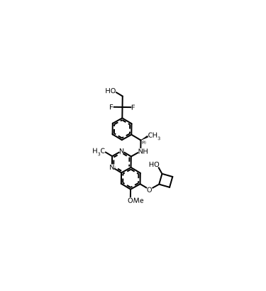 COc1cc2nc(C)nc(N[C@H](C)c3cccc(C(F)(F)CO)c3)c2cc1OC1CCC1O